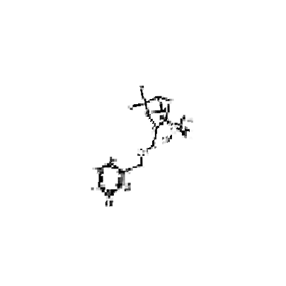 CC1(C)C2CC1C(COCc1ccccc1)C([Si](C)(C)Cl)C2